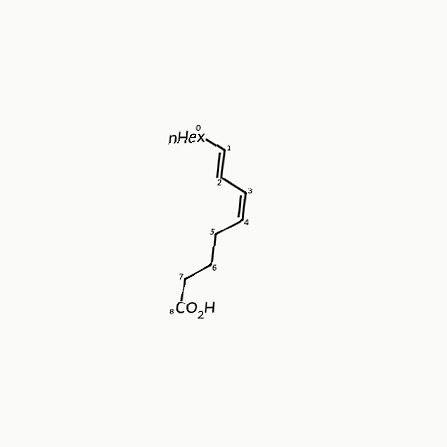 CCCCCC/C=C/C=C\CCCC(=O)O